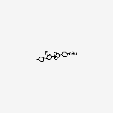 CCCCC1CCC(C2COC(C3C=C(F)C(C4CCC(C)CC4)=CC3)OC2)CC1